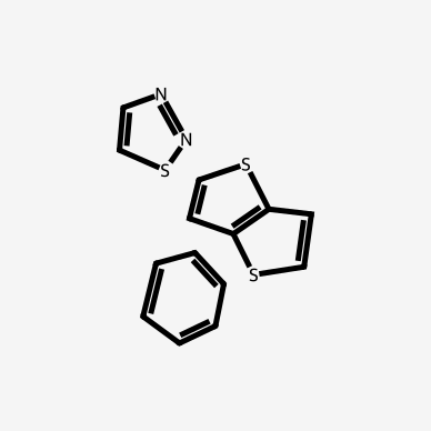 c1cc2sccc2s1.c1ccccc1.c1csnn1